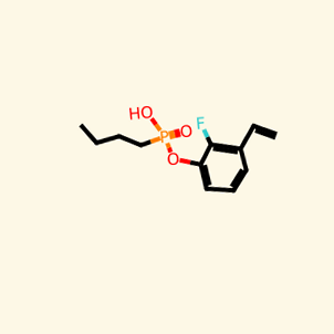 C=Cc1cccc(OP(=O)(O)CCCC)c1F